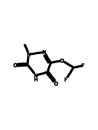 Cn1nc(OC(F)F)c(=O)[nH]c1=O